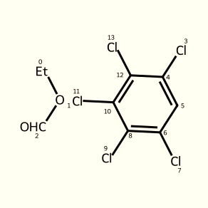 CCOC=O.Clc1cc(Cl)c(Cl)c(Cl)c1Cl